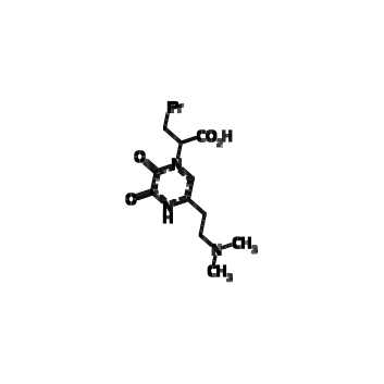 CC(C)CC(C(=O)O)n1cc(CCN(C)C)[nH]c(=O)c1=O